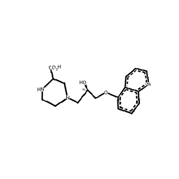 O=C(O)C1CN(C[C@@H](O)COc2cccc3ncccc23)CCN1